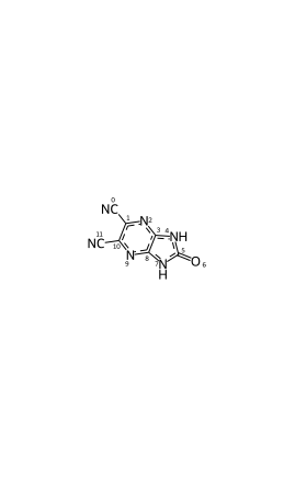 N#Cc1nc2[nH]c(=O)[nH]c2nc1C#N